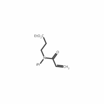 C=CC(=O)N(CCC(=O)OCC)C(C)C